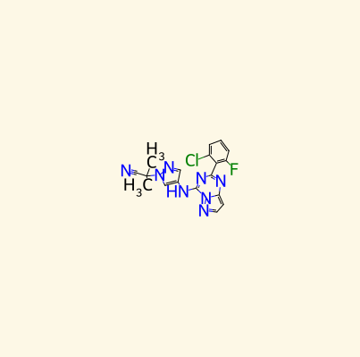 CC(C)(C#N)n1cc(Nc2nc(-c3c(F)cccc3Cl)nc3ccnn23)cn1